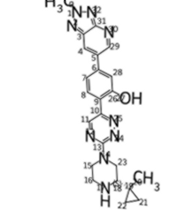 Cn1nc2cc(-c3ccc(-c4cnc(N5CCN[C@@H](C6(C)CC6)C5)nn4)c(O)c3)cnc2n1